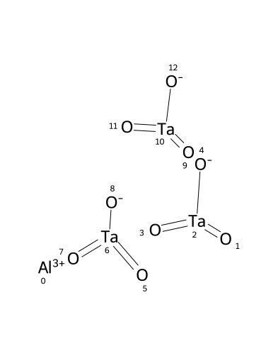 [Al+3].[O]=[Ta](=[O])[O-].[O]=[Ta](=[O])[O-].[O]=[Ta](=[O])[O-]